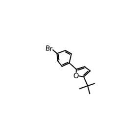 CC(C)(C)c1ccc(-c2ccc(Br)cc2)o1